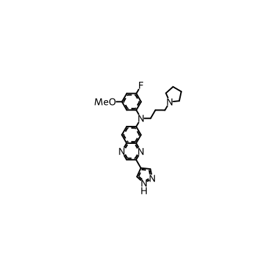 COc1cc(F)cc(N(CCCN2CCCC2)c2ccc3ncc(-c4cn[nH]c4)nc3c2)c1